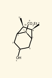 CCOC(=O)N1C2CC(O)CC1[C@H](C)[C@@H]2C